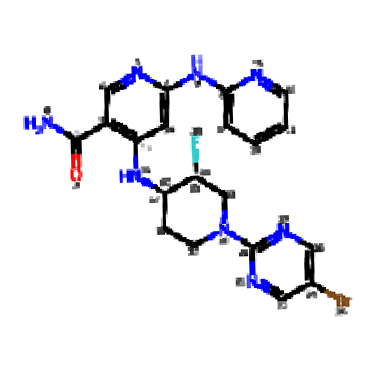 NC(=O)c1cnc(Nc2ccccn2)cc1N[C@@H]1CCN(c2ncc(Br)cn2)C[C@@H]1F